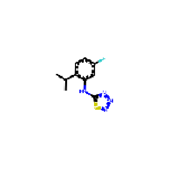 CC(C)c1ccc(F)cc1Nc1nnns1